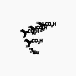 C=C(C)C(=O)O.C=C(C)C(=O)O.C=C(C)C(=O)O.C=C(C)C(=O)O.CC(C)(C)C